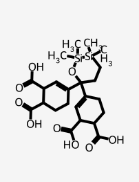 C[Si]1(C)CCC(C2=CC(C(=O)O)C(C(=O)O)CC2)(C2=CC(C(=O)O)C(C(=O)O)CC2)O[Si]1(C)C